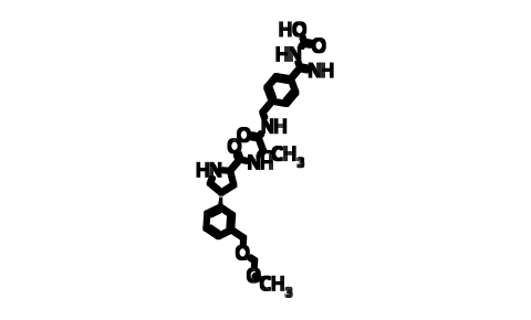 COCOCc1cccc([C@@H]2CNC(C(=O)N[C@@H](C)C(=O)NCc3ccc(C(=N)NC(=O)O)cc3)C2)c1